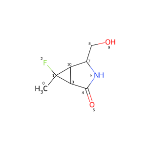 CC1(F)C2C(=O)NC(CO)C21